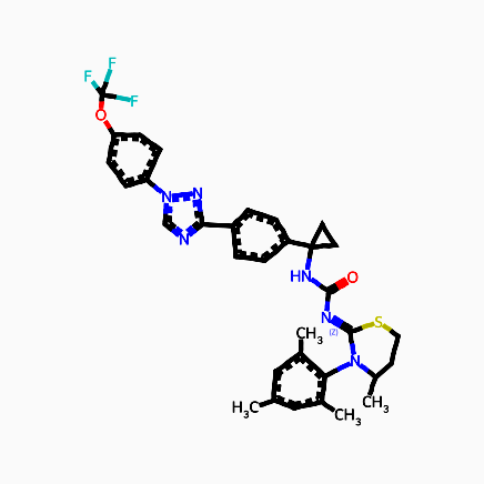 Cc1cc(C)c(N2/C(=N/C(=O)NC3(c4ccc(-c5ncn(-c6ccc(OC(F)(F)F)cc6)n5)cc4)CC3)SCCC2C)c(C)c1